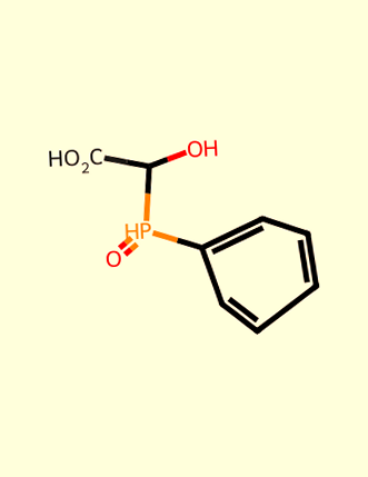 O=C(O)C(O)[PH](=O)c1ccccc1